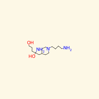 NCCCCN1CCC(CC(N)(O)CCCO)CC1